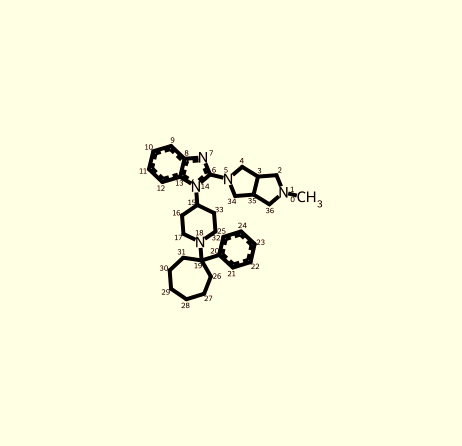 CN1CC2CN(c3nc4ccccc4n3C3CCN(C4(c5ccccc5)CCCCCC4)CC3)CC2C1